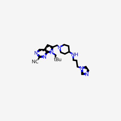 CC(C)(C)Cn1c(CN2CCC(NCCCn3ccnc3)CC2)cc2cnc(C#N)nc21